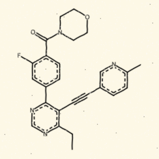 CCc1ncnc(-c2ccc(C(=O)N3CCOCC3)c(F)c2)c1C#Cc1ccc(C)nc1